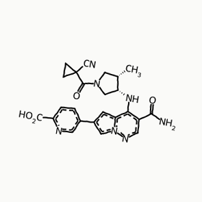 C[C@H]1CN(C(=O)C2(C#N)CC2)C[C@H]1Nc1c(C(N)=O)cnn2cc(-c3ccc(C(=O)O)nc3)cc12